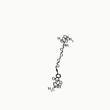 C=C1CCC(N2C(=O)c3ccc(C#CCOCCOCCOCCOCCNC(=O)OC(C)(C)C)cc3C2=O)C(=O)N1